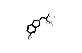 CC(C)CN1Cc2ccc(Br)cc2C1